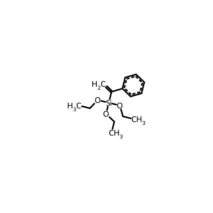 C=C(c1ccccc1)[Si](OCC)(OCC)OCC